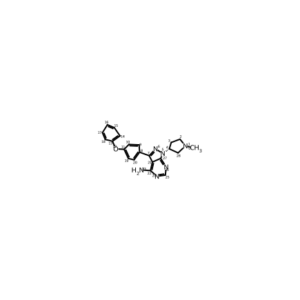 CN1CC[C@@H](n2nc(-c3ccc(Oc4ccccc4)cc3)c3c(N)ncnc32)C1